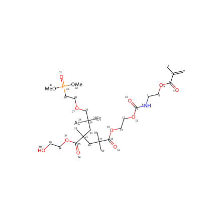 C=C(C)C(=O)OCCNC(=O)OCCOC(=O)C(C)(C)CC(C)(CC(CC)(COCCP(=O)(OC)OC)C(C)=O)C(=O)OCCO